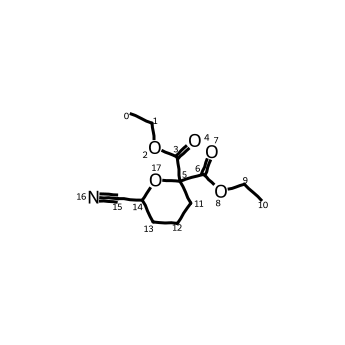 CCOC(=O)C1(C(=O)OCC)CCCC(C#N)O1